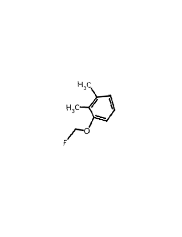 Cc1cccc(OCF)c1C